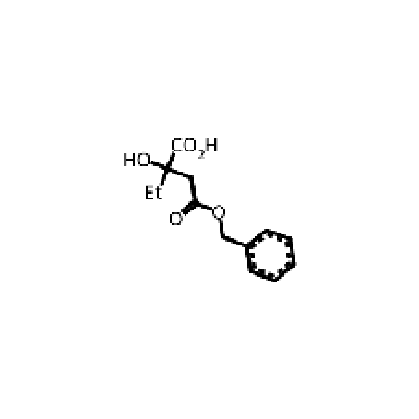 CCC(O)(CC(=O)OCc1ccccc1)C(=O)O